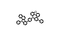 c1ccc(-c2ccc(N(c3ccc(-c4cccc5c4c4ccc6ccccc6c4n5-c4ccccc4)cc3)c3cccc4oc5ccccc5c34)cc2)cc1